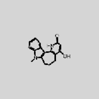 Cn1c2c(c3ccccc31)-c1[nH]c(=O)cc(O)c1CCC2